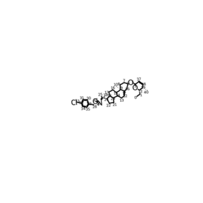 CC[C@H]1OC(O[C@H]2CC[C@@]3(C)C(=CCC4C3CC[C@@]3(C)C4CC[C@@H]3/C(C)=N/OCc3ccc(Cl)cc3)C2)C=C[C@@H]1C